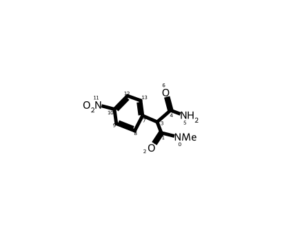 CNC(=O)C(C(N)=O)c1ccc([N+](=O)[O-])cc1